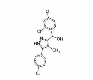 Cc1c(C(O)c2ccc(Cl)cc2Cl)n[nH]c1-c1ccc(Cl)cc1